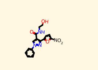 O=C(NCCO)c1cn(-c2ccccc2)nc1-c1ccc([N+](=O)[O-])o1